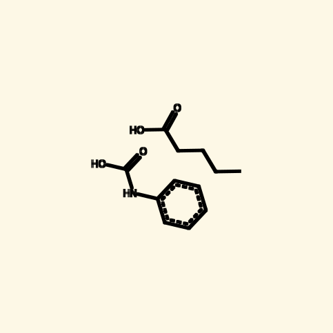 CCCCC(=O)O.O=C(O)Nc1ccccc1